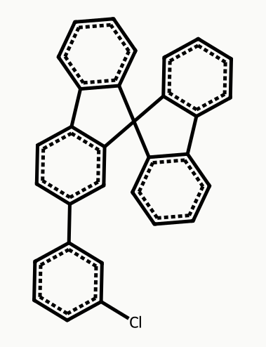 Clc1cccc(-c2ccc3c(c2)C2(c4ccccc4-c4ccccc42)c2ccccc2-3)c1